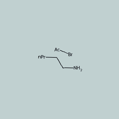 CC(=O)Br.CCCCCN